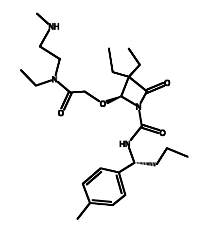 CCC[C@@H](NC(=O)N1C(=O)C(CC)(CC)[C@@H]1OCC(=O)N(CC)CCNC)c1ccc(C)cc1